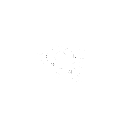 c1ccc(C2=NC(c3cccc(-n4c5ccccc5c5cc6c7ccccc7n(-c7ccccc7)c6cc54)c3)NC2c2ccccc2)cc1